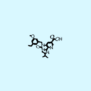 CCc1cc(CN2C(=O)N3CC(C(C)C)N=C3c3ncc(C(=O)O)cc32)cc(OC)c1